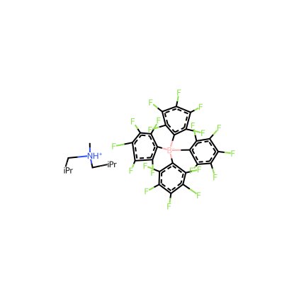 CC(C)C[NH+](C)CC(C)C.Fc1c(F)c(F)c([B-](c2c(F)c(F)c(F)c(F)c2F)(c2c(F)c(F)c(F)c(F)c2F)c2c(F)c(F)c(F)c(F)c2F)c(F)c1F